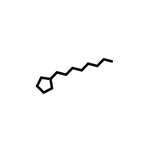 [CH2]CCCCCCC[C]1CCCC1